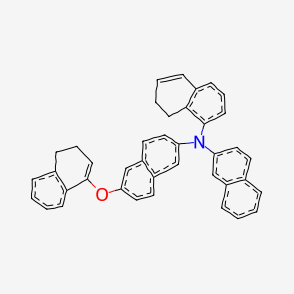 C1=Cc2cccc(N(c3ccc4ccccc4c3)c3ccc4cc(OC5=CCCc6ccccc65)ccc4c3)c2CC1